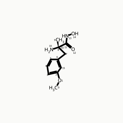 COc1cccc(C[C@](C)(N)C(=O)NO)c1